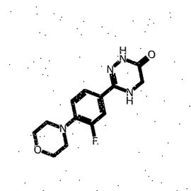 O=C1CNC(c2ccc(N3CCOCC3)c(F)c2)=NN1